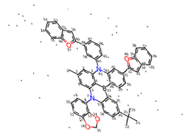 Cc1cc2c3c(c1)N(c1cccc4c1OCO4)c1ccc(C(C)(C)C)cc1B3c1ccc(-c3cc4ccccc4o3)cc1N2c1cccc(-c2cc3ccccc3o2)c1